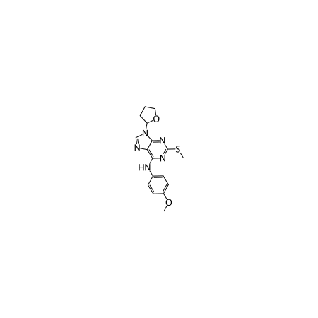 COc1ccc(Nc2nc(SC)nc3c2ncn3C2CCCO2)cc1